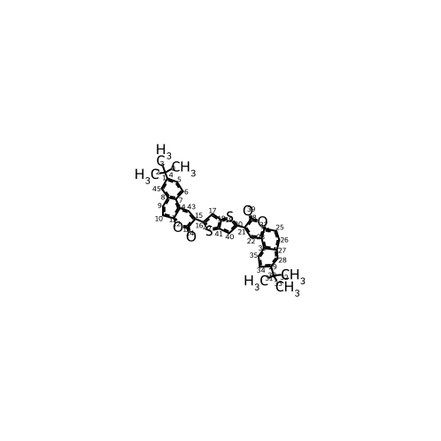 CC(C)(C)c1ccc2c(ccc3oc(=O)c(-c4cc5sc(-c6cc7c(ccc8cc(C(C)(C)C)ccc87)oc6=O)cc5s4)cc32)c1